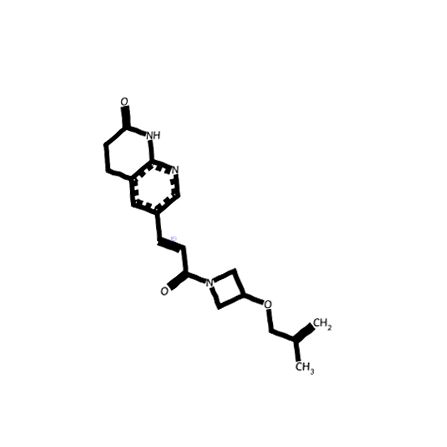 C=C(C)COC1CN(C(=O)/C=C/c2cnc3c(c2)CCC(=O)N3)C1